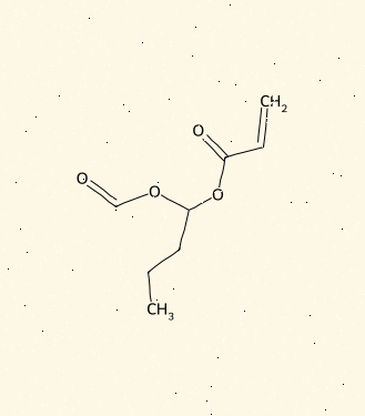 C=CC(=O)OC(CCC)O[C]=O